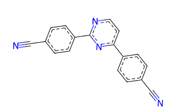 N#Cc1ccc(-c2ccnc(-c3ccc(C#N)cc3)n2)cc1